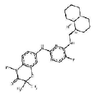 CC(C)N1C(=O)C(C)(C)Oc2cc(Nc3ncc(F)c(NC[C@@H]4CCCN5CCCC[C@H]45)n3)ccc21